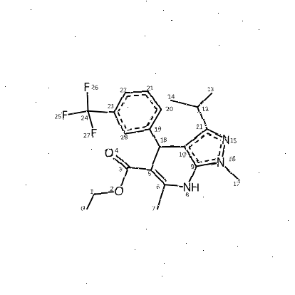 CCOC(=O)C1=C(C)Nc2c(c(C(C)C)nn2C)C1c1cccc(C(F)(F)F)c1